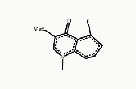 CSc1cn(C)c2cccc(F)c2c1=O